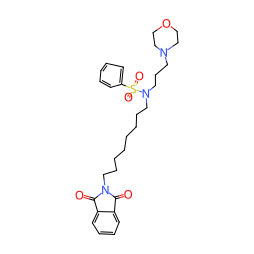 O=C1c2ccccc2C(=O)N1CCCCCCCCN(CCCN1CCOCC1)S(=O)(=O)c1ccccc1